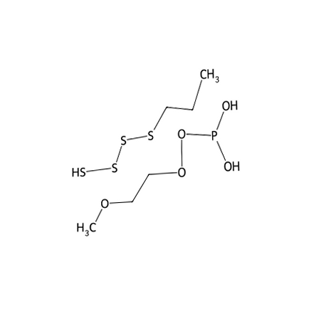 CCCSSSS.COCCOOP(O)O